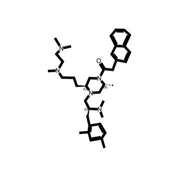 Cc1ccc(C[C@@H](CN2C[C@@H](C)N(C(=O)Cc3ccc4ccccc4c3)C[C@@H]2CCCN(C)CCN(C)C)N(C)C)c(C)c1